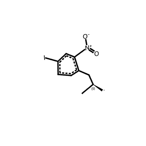 [CH2][C@@H](C)Cc1ccc(I)cc1[N+](=O)[O-]